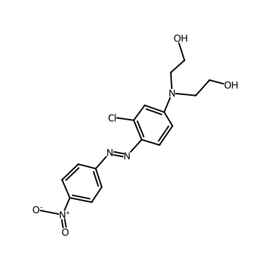 O=[N+]([O-])c1ccc(N=Nc2ccc(N(CCO)CCO)cc2Cl)cc1